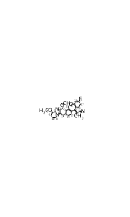 COCc1nc2c(OC)cccn2c1Cc1ccc2c(c1)COc1cc(F)ccc1C2=C(C)C#N